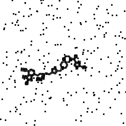 CC(C)c1nc(C(=O)N2CCOC3(CCN(Cc4cc(CCNC[C@H](O)c5ccc(O)c6[nH]c(=O)sc56)cs4)CC3)C2)cs1